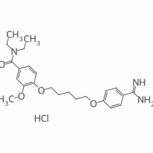 CCN(CC)C(=O)c1ccc(OCCCCCOc2ccc(C(=N)N)cc2)c(OC)c1.Cl